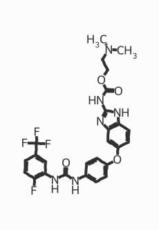 CN(C)CCOC(=O)Nc1nc2cc(Oc3ccc(NC(=O)Nc4cc(C(F)(F)F)ccc4F)cc3)ccc2[nH]1